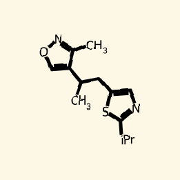 Cc1nocc1C(C)Cc1cnc(C(C)C)s1